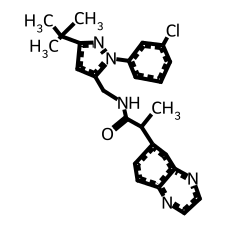 CC(C(=O)NCc1cc(C(C)(C)C)nn1-c1cccc(Cl)c1)c1ccc2nccnc2c1